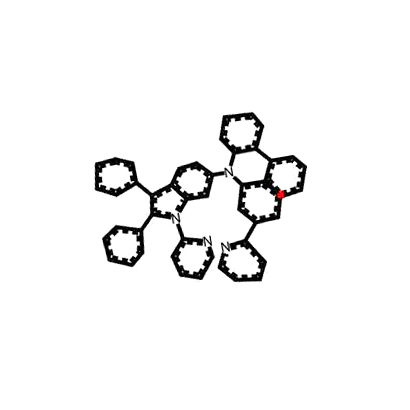 c1ccc(-c2ccccc2N(c2cccc(-c3ccccn3)c2)c2ccc3c(-c4ccccc4)c(-c4ccccc4)n(-c4ccccn4)c3c2)cc1